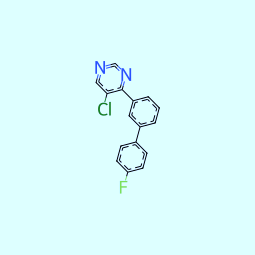 Fc1ccc(-c2cccc(-c3ncncc3Cl)c2)cc1